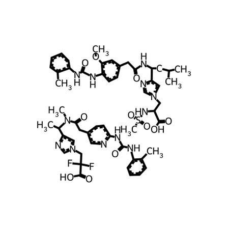 COc1cc(CC(=O)NC(CC(C)C)c2cn(CC(NS(C)(=O)=O)C(=O)O)cn2)ccc1NC(=O)Nc1ccccc1C.Cc1ccccc1NC(=O)Nc1ccc(CC(=O)N(C)C(C)c2cn(CC(F)(F)C(=O)O)cn2)cn1